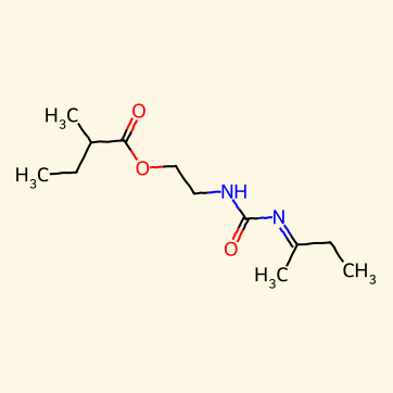 CC/C(C)=N/C(=O)NCCOC(=O)C(C)CC